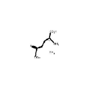 COC(=O)CC[C@H](N)C(=O)O.N